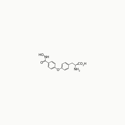 N[C@@H](Cc1ccc(Oc2ccc(C(=O)NO)cc2)cc1)C(=O)O